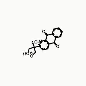 O=C1c2ccccc2C(=O)c2cc(C(CO)(CO)C(=O)O)ccc21